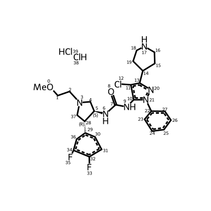 COCCN1C[C@@H](NC(=O)Nc2c(Cl)c(C3CCNCC3)nn2-c2ccccc2)[C@H](c2ccc(F)c(F)c2)C1.Cl.Cl